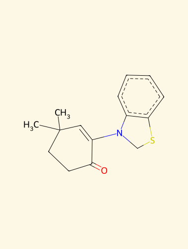 CC1(C)C=C(N2CSc3ccccc32)C(=O)CC1